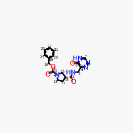 O=C(NCc1nnc[nH]c1=O)[C@@H]1CCN(C(=O)OCc2ccccc2)C1